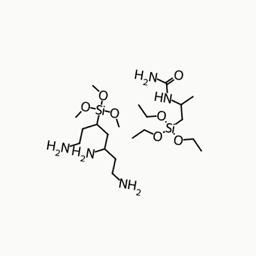 CCO[Si](CC(C)NC(N)=O)(OCC)OCC.CO[Si](OC)(OC)C(CCN)CC(N)CCN